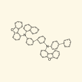 c1ccc(-c2ccc(N(c3cccc(-c4cccc(N(c5cccc6ccccc56)c5cccc6oc7ccccc7c56)c4)c3)c3cccc4oc5ccccc5c34)cc2)cc1